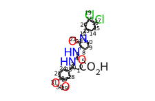 O=C(O)C[C@H](NC(=O)Nc1cccn(Cc2ccc(Cl)c(Cl)c2)c1=O)c1ccc2c(c1)OCO2